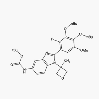 CCCCOc1c(OC)cc(-c2nc3cc(NC(=O)OC(C)(C)C)ccc3n2C2(C)COC2)c(F)c1OCCCC